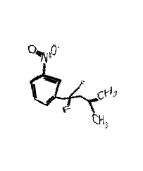 CC(C)C(F)(F)c1cccc([N+](=O)[O-])c1